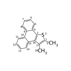 Cc1sc2c3ccccc3c3ccccc3c2c1C